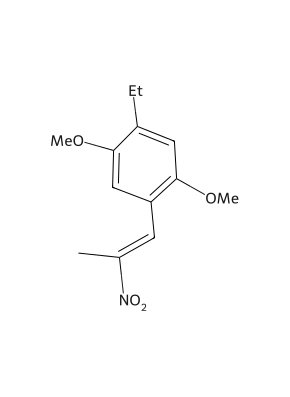 CCc1cc(OC)c(/C=C(\C)[N+](=O)[O-])cc1OC